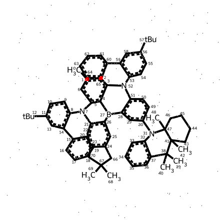 Cc1cc2c3c(c1)N(c1ccc(C(C)(C)C)cc1-c1ccccc1)c1cc4c(cc1B3c1cc(N3c5ccccc5C(C)(C)C5(C)CCCCC35C)ccc1N2c1ccc(C(C)(C)C)cc1-c1ccccc1)CC(C)(C)C4